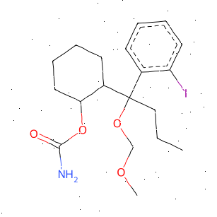 CCCC(OCOC)(c1ccccc1I)C1CCCCC1OC(N)=O